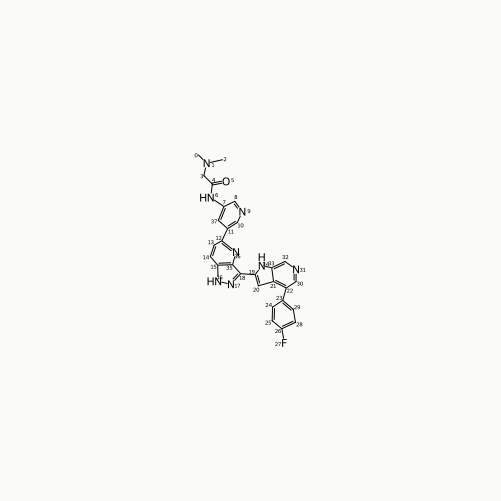 CN(C)CC(=O)Nc1cncc(-c2ccc3[nH]nc(-c4cc5c(-c6ccc(F)cc6)cncc5[nH]4)c3n2)c1